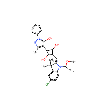 CC(C)OC(C)N1/C(=C/C2C(O)C(c3c(C(F)(F)F)nn(-c4ccccc4)c3O)C2O)C(C)(C)c2cc(Cl)ccc21